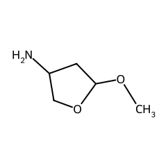 COC1CC(N)CO1